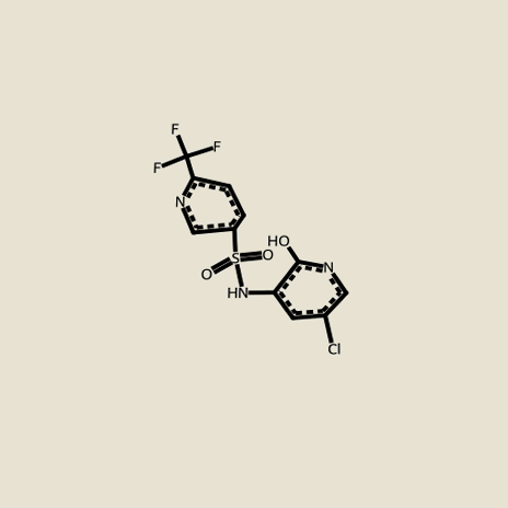 O=S(=O)(Nc1cc(Cl)cnc1O)c1ccc(C(F)(F)F)nc1